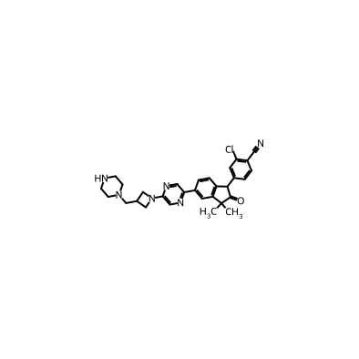 CC1(C)C(=O)C(c2ccc(C#N)c(Cl)c2)c2ccc(-c3cnc(N4CC(CN5CCNCC5)C4)cn3)cc21